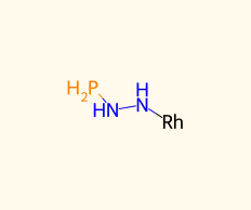 PN[NH][Rh]